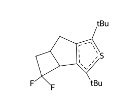 CC(C)(C)c1sc(C(C)(C)C)c2c1CC1CC(F)(F)C21